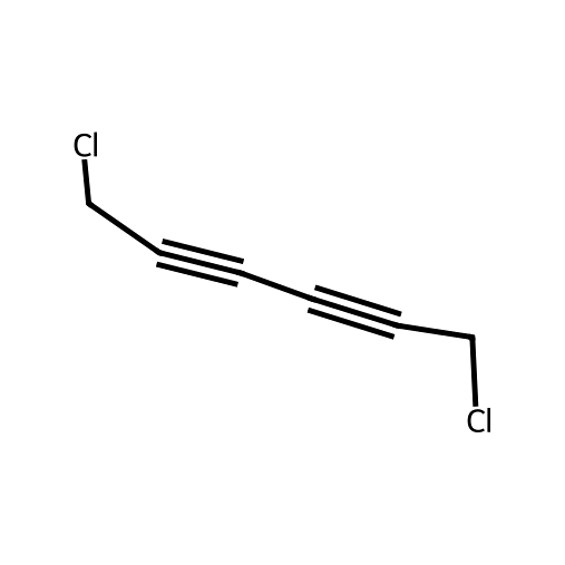 ClCC#CC#CCCl